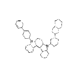 C1=CCC(C2CCC(N3C4CCCCC4C4C5C6CCCCC6N(C6CCCC(C7CCC8CCCCC8C7)C6)C5CCC43)CC2)C=C1